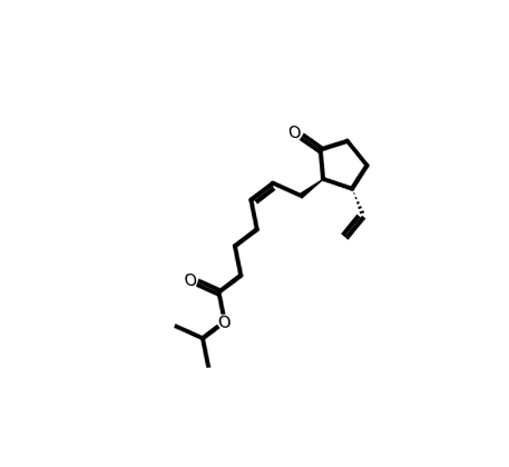 C=C[C@H]1CCC(=O)[C@@H]1C/C=C\CCCC(=O)OC(C)C